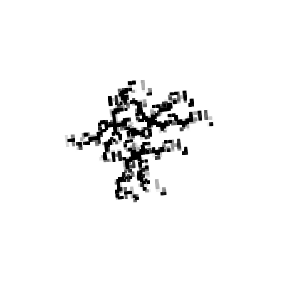 CCOCC(OCC)(OCC)OP(OC(COCC)(OCC)OCC)OC(COCC)(OCC)OCC